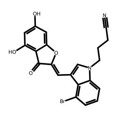 N#CCCCn1cc(C=C2Oc3cc(O)cc(O)c3C2=O)c2c(Br)cccc21